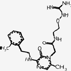 Cc1ccccc1CCNc1ncc(C)n(CC(=O)NCCONC(=N)N)c1=O